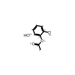 CC(=O)Oc1ccccc1Cl.Cl